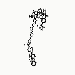 Cc1ncoc1-c1ccc([C@H](C)NC(=O)[C@@H]2CCCN2C(=O)C(NC(=O)COCCOCCOCCOCC(=O)N2CCN(c3ccn4c(n3)nc3ccccc34)CC2)C(C)(C)C)cc1